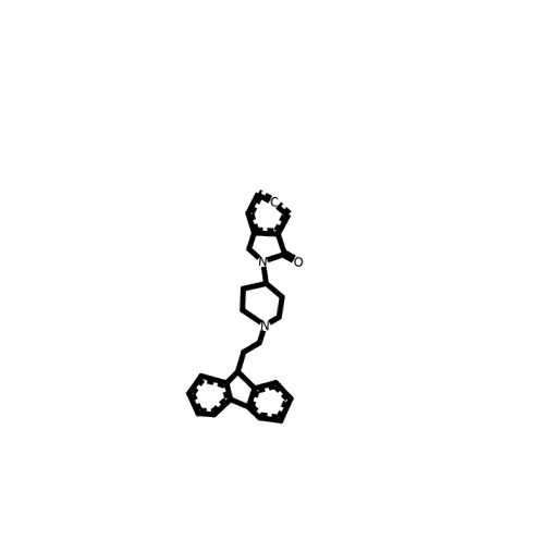 O=C1c2ccccc2CN1C1CCN(CCC2c3ccccc3-c3ccccc32)CC1